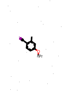 CCCOc1ccc(C#I)c(C)c1